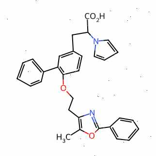 Cc1oc(-c2ccccc2)nc1CCOc1ccc(CC(C(=O)O)n2cccc2)cc1-c1ccccc1